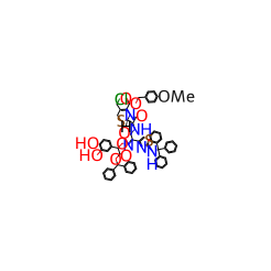 COc1ccc(COC(=O)C2=C(CCl)CS[C@H]3C(NC(=O)/C(=N\O[C@@H](C(=O)OC(c4ccccc4)c4ccccc4)c4ccc(O)c(O)c4)c4csc(NC(c5ccccc5)(c5ccccc5)c5ccccc5)n4)C(=O)N23)cc1